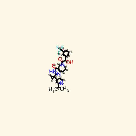 CC(C)c1cc(C2(c3nc4c(c(=O)[nH]3)CN(C(=O)[C@H](O)c3cccc(C(F)(F)F)c3)CCC4)CC2)ccn1